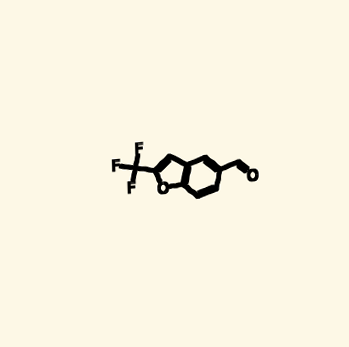 O=Cc1ccc2oc(C(F)(F)F)cc2c1